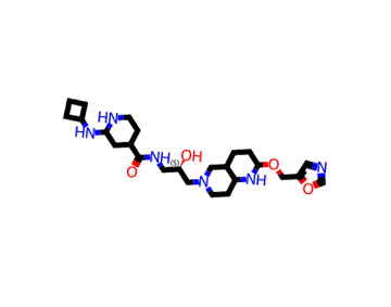 O=C(NC[C@H](O)CN1CCC2NC(OCc3cnco3)CCC2C1)C1CCNC(NC2CCC2)C1